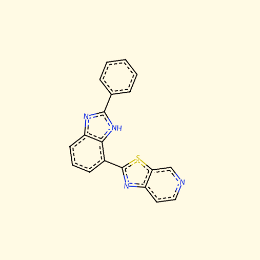 c1ccc(-c2nc3cccc(-c4nc5ccncc5s4)c3[nH]2)cc1